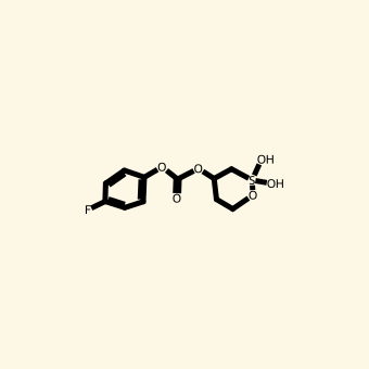 O=C(Oc1ccc(F)cc1)OC1CCOS(O)(O)C1